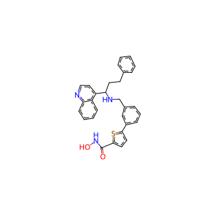 O=C(NO)c1ccc(-c2cccc(CNC(CCc3ccccc3)c3ccnc4ccccc34)c2)s1